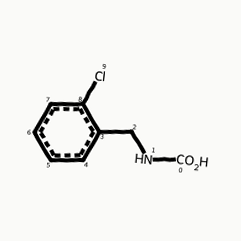 O=C(O)NCc1ccccc1Cl